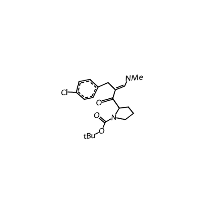 CN/C=C(\Cc1ccc(Cl)cc1)C(=O)C1CCCN1C(=O)OC(C)(C)C